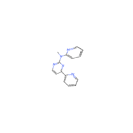 CN(c1ccccn1)c1nccc(-c2ccccn2)n1